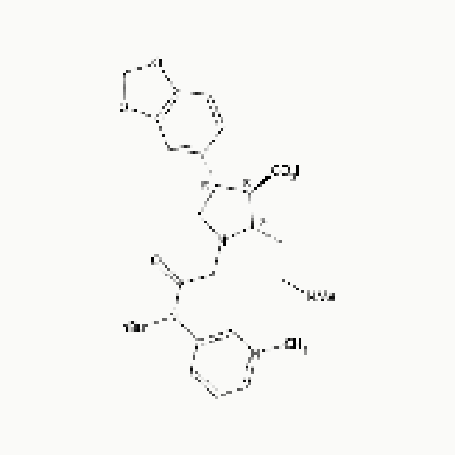 CCCCN(C(=O)CN1C[C@H](c2ccc3c(c2)OCO3)[C@@H](C(=O)O)[C@@H]1CCNC)c1ccc[n+](C)c1